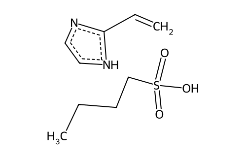 C=Cc1ncc[nH]1.CCCCS(=O)(=O)O